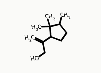 C=C(CO)C1CCC(C)C1(C)C